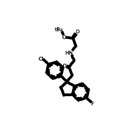 CC(C)(C)OC(=O)CNCC(=O)CC1(c2ccc(Cl)cc2)CCc2cc(F)ccc21